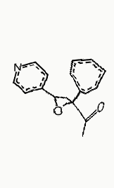 CC(=O)C1(c2ccccc2)OC1c1ccncc1